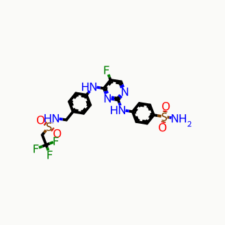 NS(=O)(=O)c1ccc(Nc2ncc(F)c(Nc3ccc(CNS(=O)(=O)CC(F)(F)F)cc3)n2)cc1